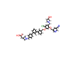 Cc1c(COc2cc(OCc3cncc(C#N)c3)c(CN3CCC(O)C3)cc2Cl)cccc1-c1cccc(-c2ccc(CN3CC(CC(=O)O)C3)cc2)c1C